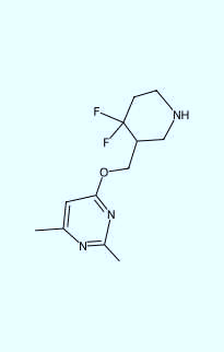 Cc1cc(OCC2CNCCC2(F)F)nc(C)n1